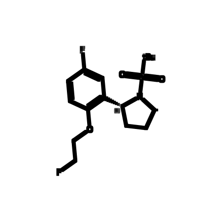 CC(C)(C)S(=O)(=O)N1[CH]CC[C@@H]1c1cc(F)ccc1OCCF